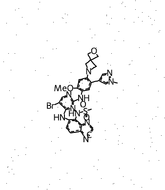 COc1cc(N2CC3(COC3)C2)c(-c2cnn(C)c2)cc1Nc1ncc(Br)c(Nc2ccc3nccnc3c2NS(C)(=O)=O)n1